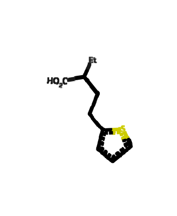 CCC(CCc1cccs1)C(=O)O